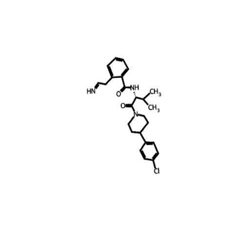 CC(C)[C@@H](NC(=O)c1ccccc1CC=N)C(=O)N1CCC(c2ccc(Cl)cc2)CC1